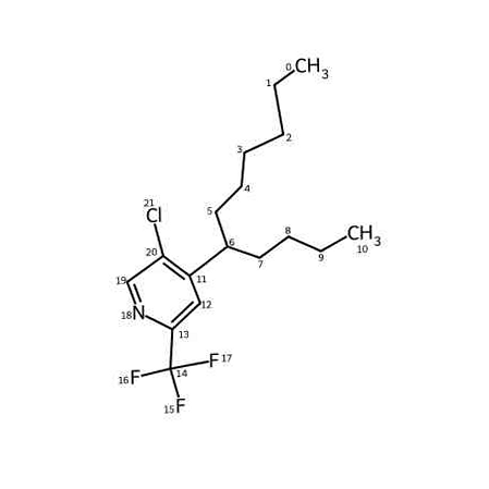 CCCCCCC(CCCC)c1cc(C(F)(F)F)ncc1Cl